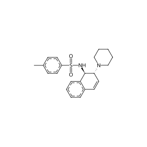 Cc1ccc(S(=O)(=O)N[C@@H]2c3ccccc3C=C[C@H]2N2CCCCC2)cc1